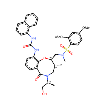 COc1ccc(S(=O)(=O)N(C)C[C@@H]2Oc3c(NC(=O)Nc4cccc5ccccc45)cccc3C(=O)N([C@@H](C)CO)C[C@H]2C)c(OC)c1